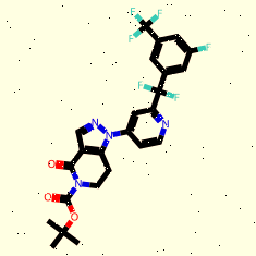 CC(C)(C)OC(=O)N1CCc2c(cnn2-c2ccnc(C(F)(F)c3cc(F)cc(C(F)(F)F)c3)c2)C1=O